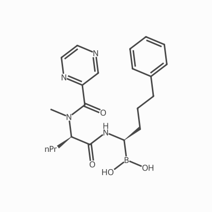 CCC[C@H](C(=O)N[C@@H](CCCc1ccccc1)B(O)O)N(C)C(=O)c1cnccn1